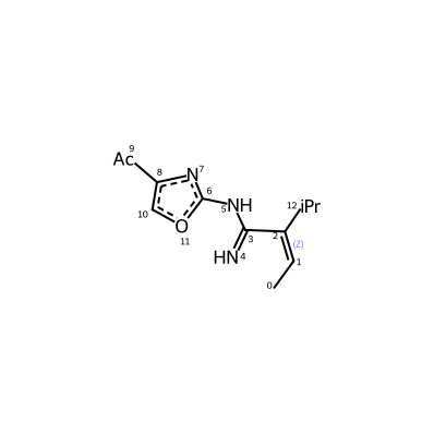 C/C=C(\C(=N)Nc1nc(C(C)=O)co1)C(C)C